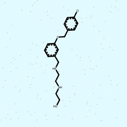 OCCNCCNCc1cccc(OCc2ccc(Cl)cc2)c1